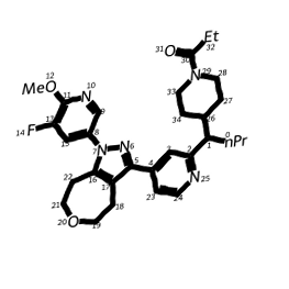 CCCC(c1cc(-c2nn(-c3cnc(OC)c(F)c3)c3c2CCOCC3)ccn1)C1CCN(C(=O)CC)CC1